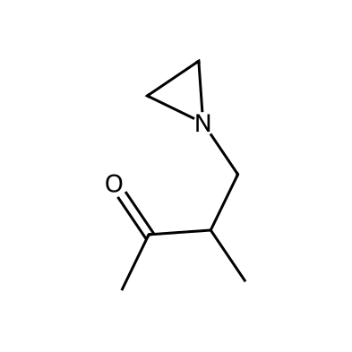 CC(=O)C(C)CN1CC1